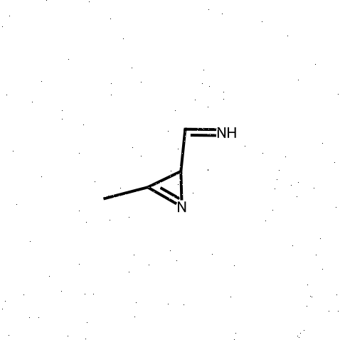 CC1=NC1C=N